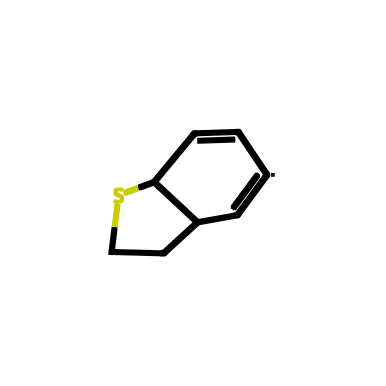 [C]1=CC2CCSC2C=C1